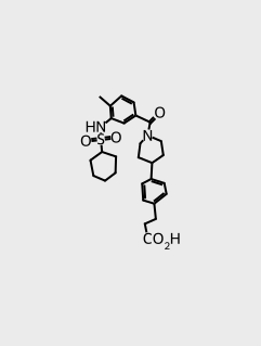 Cc1ccc(C(=O)N2CCC(c3ccc(CCC(=O)O)cc3)CC2)cc1NS(=O)(=O)C1CCCCC1